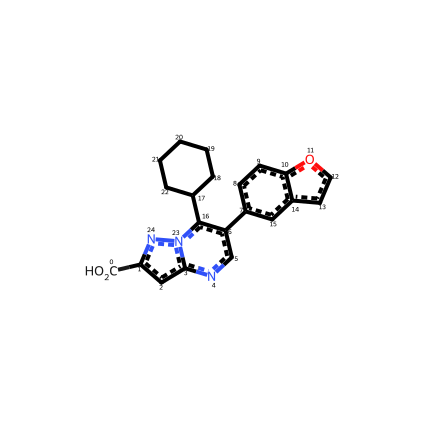 O=C(O)c1cc2ncc(-c3ccc4occc4c3)c(C3CCCCC3)n2n1